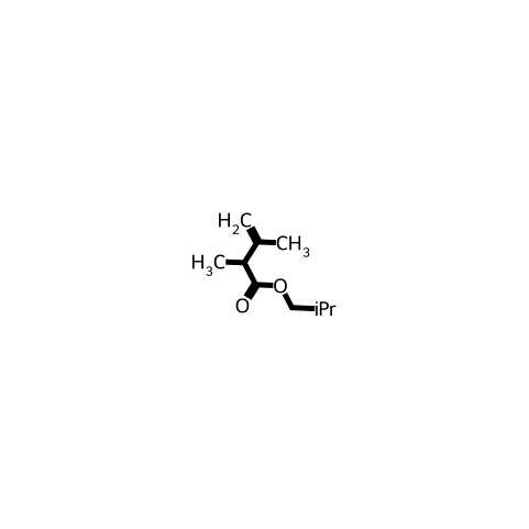 C=C(C)C(C)C(=O)OCC(C)C